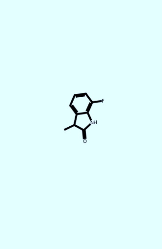 CC1C(=O)Nc2c(F)cccc21